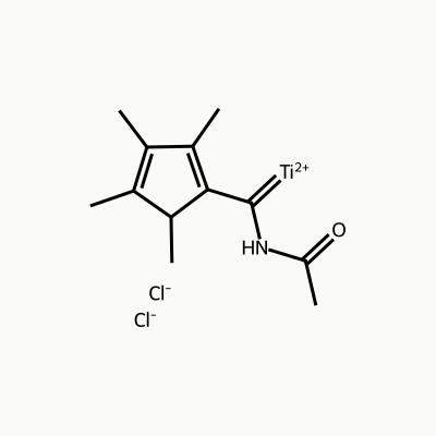 CC(=O)N[C](=[Ti+2])C1=C(C)C(C)=C(C)C1C.[Cl-].[Cl-]